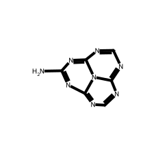 NC1=NC2=N[C]=NC3=N[C]=NC(=N1)N32